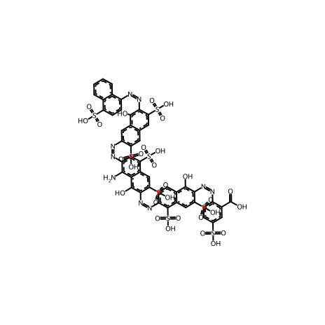 Nc1c(/N=N\c2cc3c(O)c(/N=N\c4ccc(S(=O)(=O)O)c5ccccc45)c(S(=O)(=O)O)cc3cc2S(=O)(=O)O)cc(S(=O)(=O)O)c2cc(S(=O)(=O)O)c(/N=N\c3ccc4c(O)c(/N=N\c5ccc(S(=O)(=O)O)cc5C(=O)O)c(S(=O)(=O)O)cc4c3S(=O)(=O)O)c(O)c12